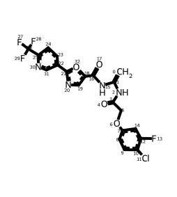 C=C(NC(=O)COc1ccc(Cl)c(F)c1)NC(=O)c1cnc(-c2ccc(C(F)(F)F)nc2)o1